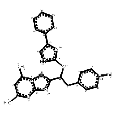 Cc1cc(C)n2cc(C(Cc3ccc(Cl)cc3)Sc3nc(-c4ccccc4)c[nH]3)nc2n1